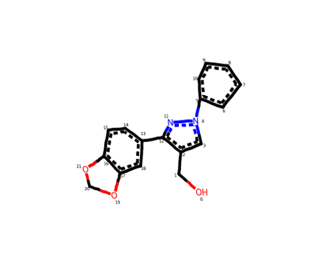 OCc1cn(-c2ccccc2)nc1-c1ccc2c(c1)OCO2